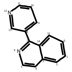 [c]1ccc2ccnc(-c3cccnc3)c2c1